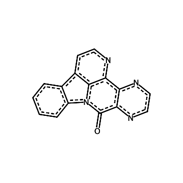 O=c1c2nccnc2c2nccc3c4ccccc4n1c32